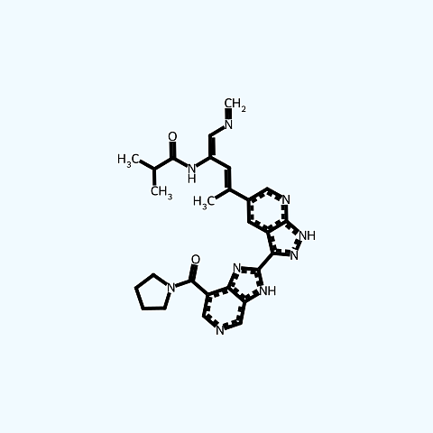 C=N/C=C(\C=C(/C)c1cnc2[nH]nc(-c3nc4c(C(=O)N5CCCC5)cncc4[nH]3)c2c1)NC(=O)C(C)C